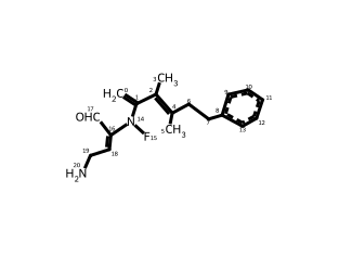 C=C(/C(C)=C(\C)CCc1ccccc1)N(F)/C(C=O)=C/CN